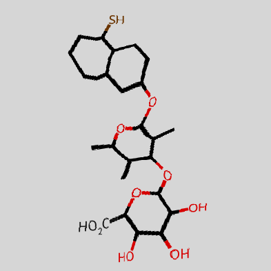 CC1OC(OC2CCC3C(S)CCCC3C2)C(C)C(OC2OC(C(=O)O)C(O)C(O)C2O)C1C